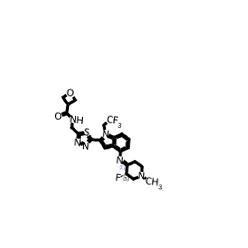 CN1CC/C(=N\c2cccc3c2cc(-c2nnc(CNC(=O)C4COC4)s2)n3CC(F)(F)F)[C@@H](F)C1